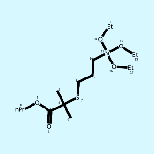 CCCOC(=O)C(C)(C)SCCC[Si](OCC)(OCC)OCC